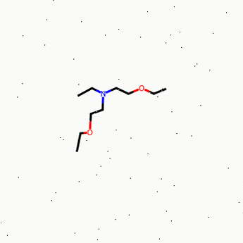 CCOCCN(CC)CCOCC